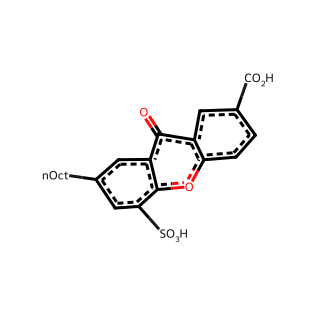 CCCCCCCCc1cc(S(=O)(=O)O)c2oc3ccc(C(=O)O)cc3c(=O)c2c1